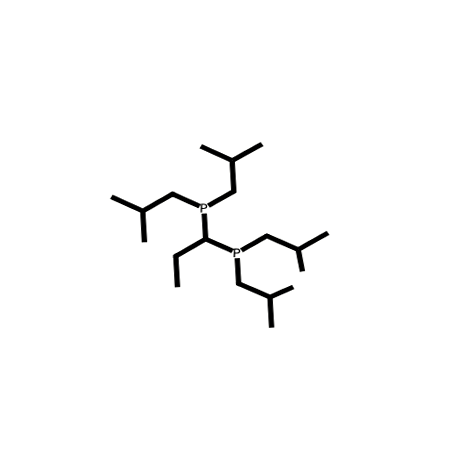 CCC(P(CC(C)C)CC(C)C)P(CC(C)C)CC(C)C